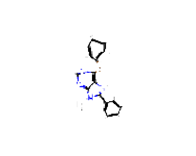 Cn1c(-c2ccccc2)nc2c(Sc3ccccc3)ncnc21